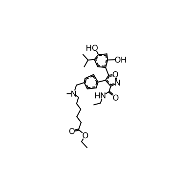 CCNC(=O)c1noc(-c2cc(C(C)C)c(O)cc2O)c1-c1ccc(CN(C)CCCCCC(=O)OCC)cc1